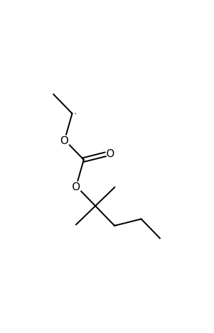 C[CH]OC(=O)OC(C)(C)CCC